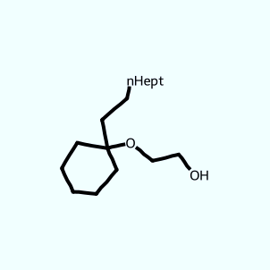 CCCCCCCCCC1(OCCO)CCCCC1